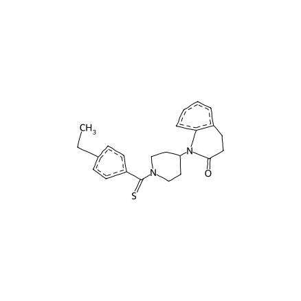 CCc1ccc(C(=S)N2CCC(N3C(=O)CCc4ccccc43)CC2)cc1